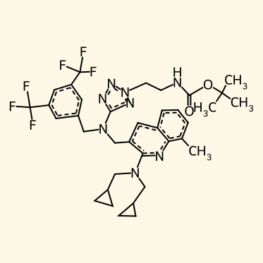 Cc1cccc2cc(CN(Cc3cc(C(F)(F)F)cc(C(F)(F)F)c3)c3nnn(CCNC(=O)OC(C)(C)C)n3)c(N(CC3CC3)CC3CC3)nc12